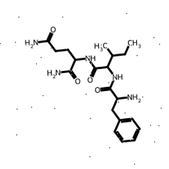 CCC(C)C(NC(=O)C(N)Cc1ccccc1)C(=O)NC(CCC(N)=O)C(N)=O